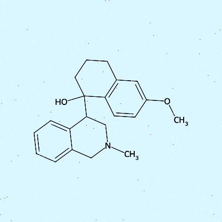 COc1ccc2c(c1)CCCC2(O)C1CN(C)Cc2ccccc21